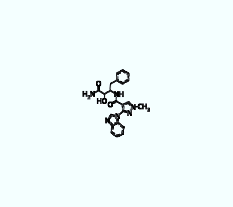 Cn1cc(C(=O)NC(Cc2ccccc2)C(O)C(N)=O)c(-n2cnc3ccccc32)n1